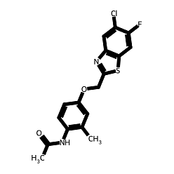 CC(=O)Nc1ccc(OCc2nc3cc(Cl)c(F)cc3s2)cc1C